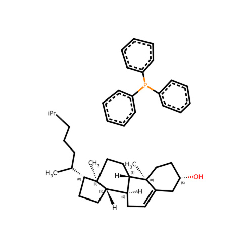 CC(C)CCCC(C)[C@H]1CC[C@H]2[C@@H]3CC=C4C[C@@H](O)CC[C@]4(C)[C@H]3CC[C@]12C.c1ccc(P(c2ccccc2)c2ccccc2)cc1